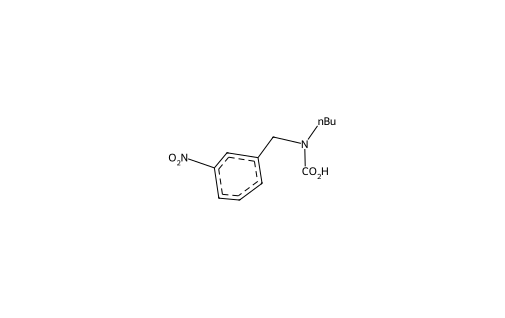 CCCCN(Cc1cccc([N+](=O)[O-])c1)C(=O)O